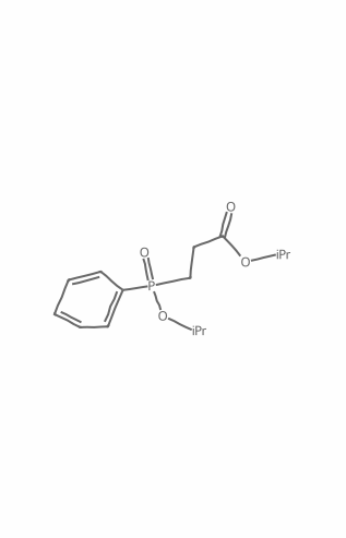 CC(C)OC(=O)CCP(=O)(OC(C)C)c1ccccc1